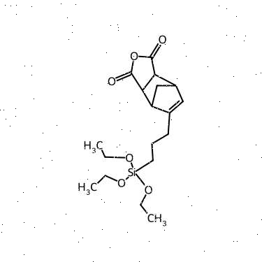 CCO[Si](CCCC1=CC2CC1C1C(=O)OC(=O)C21)(OCC)OCC